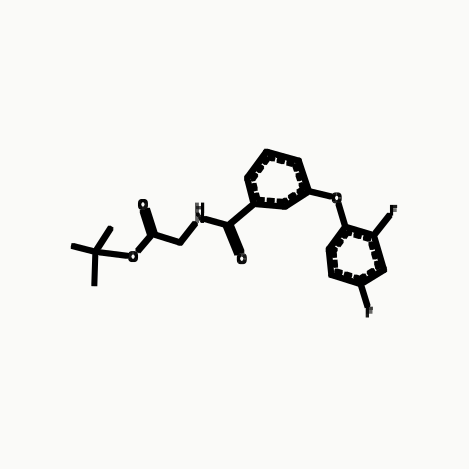 CC(C)(C)OC(=O)CNC(=O)c1cccc(Oc2ccc(F)cc2F)c1